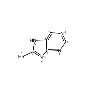 SC1=[N+]c2ncncc2N1